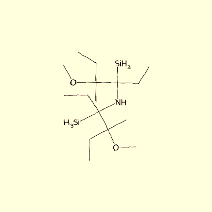 CCC([SiH3])(NC([SiH3])(CC)C(C)(CC)OC)C(C)(CC)OC